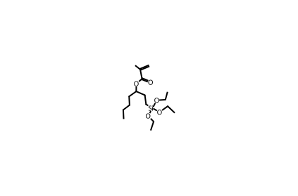 C=C(C)C(=O)OC(CCCC)CC[Si](OCC)(OCC)OCC